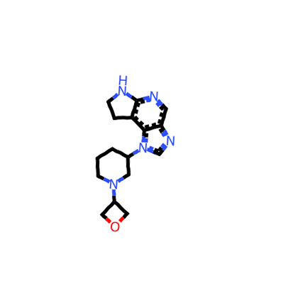 c1nc2c(c3c1ncn3C1CCCN(C3COC3)C1)CCN2